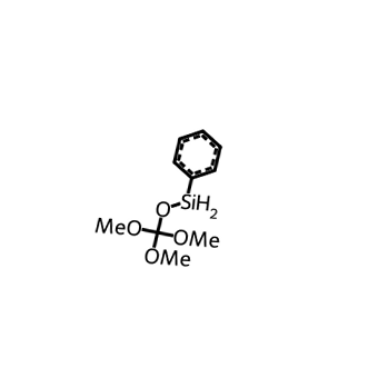 COC(OC)(OC)O[SiH2]c1ccccc1